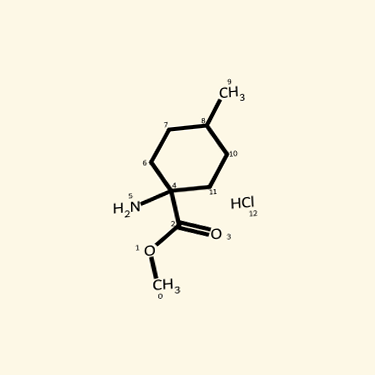 COC(=O)C1(N)CCC(C)CC1.Cl